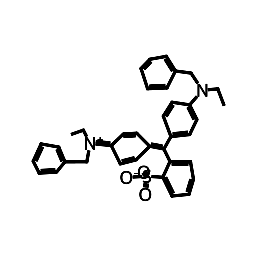 CCN(Cc1ccccc1)c1ccc(C(=C2C=CC(=[N+](CC)Cc3ccccc3)C=C2)c2ccccc2S(=O)(=O)[O-])cc1